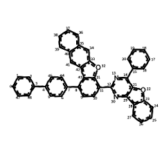 c1ccc(-c2ccc(-c3ccc(-c4nc(-c5ccccc5)c5oc6ccccc6c5n4)c4oc5cc6ccccc6cc5c34)cc2)cc1